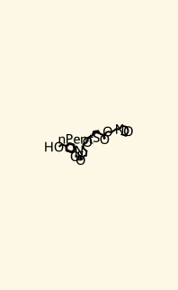 CCCCCC(O)c1ccc(N2C(COCc3ccc(C(=O)OCCN4CCOCC4)s3)CCS2(=O)=O)cc1